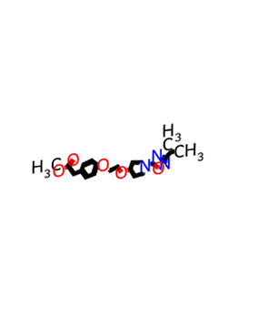 COC(=O)Cc1ccc(OCCOC2CCN(c3nc(C(C)C)no3)CC2)cc1